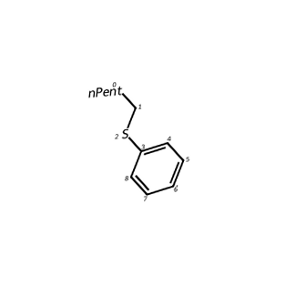 CCCCCCSc1cc[c]cc1